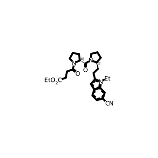 CCOC(=O)CCC(=O)N1CCC[C@@H]1C(=O)N1CCC[C@H]1CCc1cc2ccc(C#N)cc2n1CC